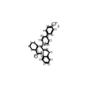 O=C(C1CCCCC1)N1c2ccccc2CCC1CN1CCC(c2ccc(C(F)(F)F)cc2)CC1